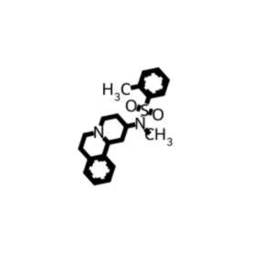 Cc1ccccc1S(=O)(=O)N(C)C1CCN2CCc3ccccc3C2C1